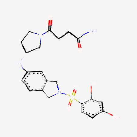 NC(=O)CCC(=O)N1CC[C@@H](Nc2ccc3c(c2)CN(S(=O)(=O)c2ccc(O)cc2O)C3)C1